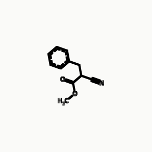 COC(=O)C(C#N)Cc1ccccc1